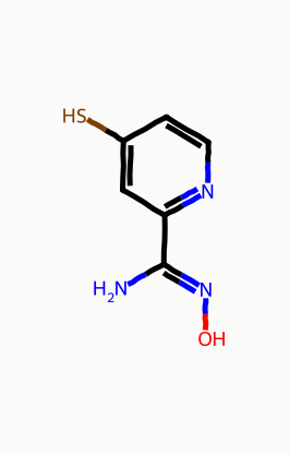 NC(=NO)c1cc(S)ccn1